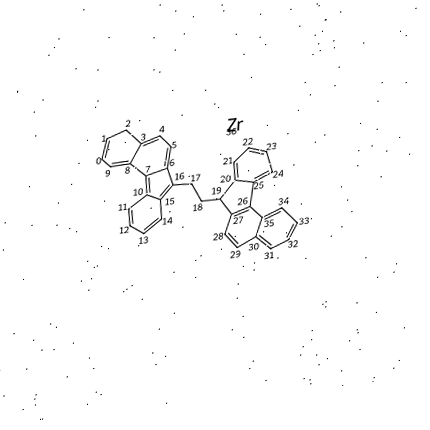 C1=CCc2ccc3c(c2=C1)=c1ccccc1=C3CCC1c2ccccc2-c2c1ccc1ccccc21.[Zr]